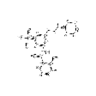 O=C(Nc1cc(CCCN2CCOCC2)cc(C(F)(F)F)c1)c1cccnc1F